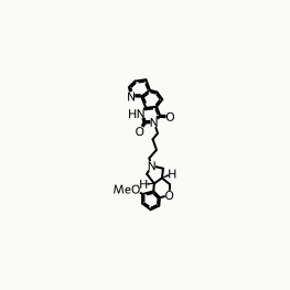 COc1cccc2c1[C@@H]1CN(CCCCn3c(=O)[nH]c4c(ccc5cccnc54)c3=O)C[C@@H]1CO2